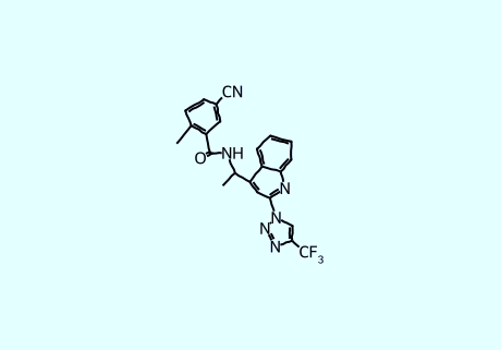 Cc1ccc(C#N)cc1C(=O)NC(C)c1cc(-n2cc(C(F)(F)F)nn2)nc2ccccc12